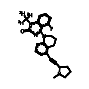 [2H]C([2H])([2H])n1c(=O)nc(N2CCCc3c(C#CC4CCCN4C)cccc32)c2c(F)cccc21